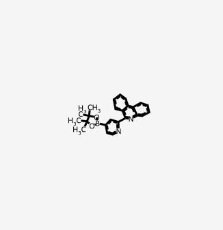 CC1(C)OB(c2ccnc(-c3nc4ccccc4c4ccccc34)c2)OC1(C)C